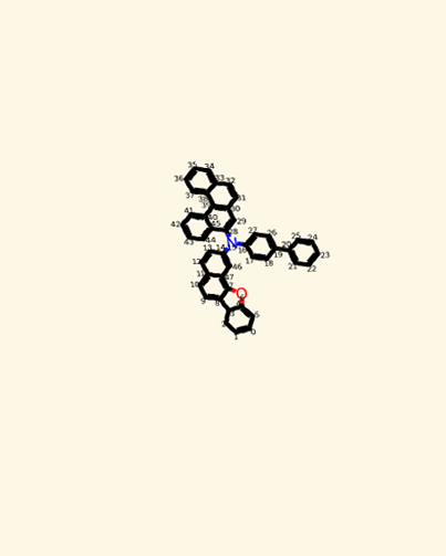 C1=CCC2C(=C1)Oc1c2ccc2ccc(N(c3ccc(-c4ccccc4)cc3)c3cc4ccc5ccccc5c4c4ccccc34)cc12